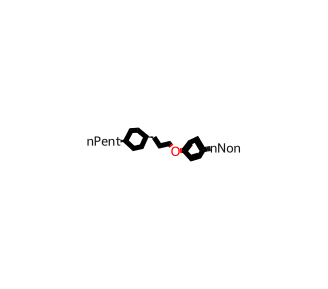 CCCCCCCCCc1ccc(OCCC[C@H]2CC[C@H](CCCCC)CC2)cc1